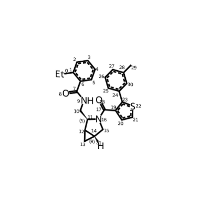 CCc1ccccc1C(=O)NC[C@@H]1C2C[C@H]2CN1C(=O)c1ccsc1-c1cccc(C)c1